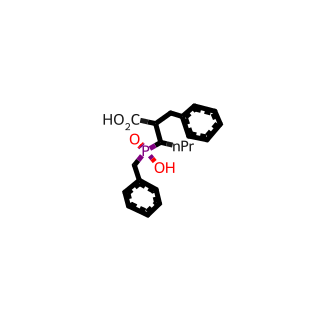 CCCC(C(Cc1ccccc1)C(=O)O)P(=O)(O)Cc1ccccc1